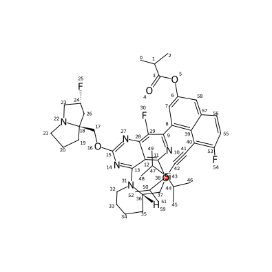 CC(C)C(=O)Oc1cc(-c2nc3c4c(nc(OC[C@@]56CCCN5C[C@H](F)C6)nc4c2F)N2CCCC[C@H]2CO3)c2c(C#C[Si](C(C)C)(C(C)C)C(C)C)c(F)ccc2c1